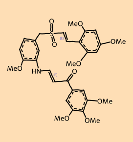 COc1cc(OC)c(/C=C/S(=O)(=O)Cc2ccc(OC)c(N/C=C/C(=O)c3cc(OC)c(OC)c(OC)c3)c2)c(OC)c1